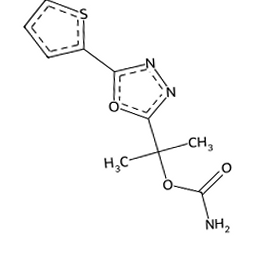 CC(C)(OC(N)=O)c1nnc(-c2cccs2)o1